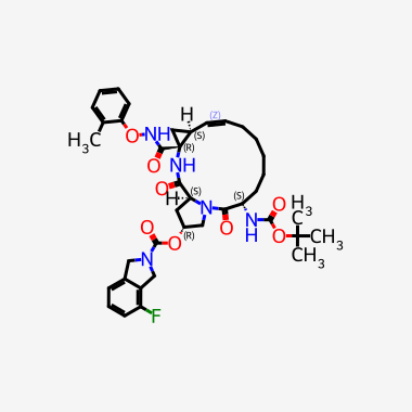 Cc1ccccc1ONC(=O)[C@@]12C[C@H]1/C=C\CCCCC[C@H](NC(=O)OC(C)(C)C)C(=O)N1C[C@H](OC(=O)N3Cc4cccc(F)c4C3)C[C@H]1C(=O)N2